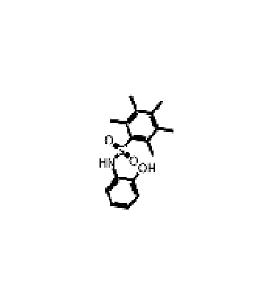 Cc1c(C)c(C)c(S(=O)(=O)Nc2ccccc2O)c(C)c1C